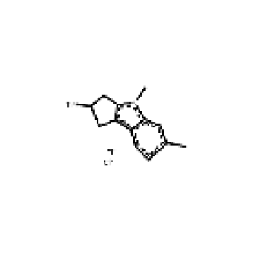 Cc1ccc2c3c(n(C)c2c1)C[CH]([Ti+2])C3.[Cl-].[Cl-]